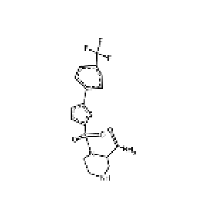 NC(=O)C1CNCCN1S(=O)(=O)c1ccc(-c2ccc(C(F)(F)F)cc2)s1